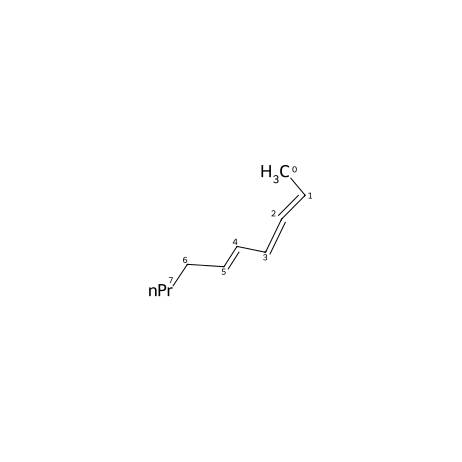 CC=C=CC=CCCCC